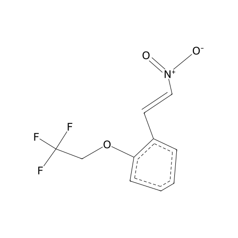 O=[N+]([O-])C=Cc1ccccc1OCC(F)(F)F